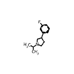 CC(C)N1CCC(c2cccc(F)c2)C1